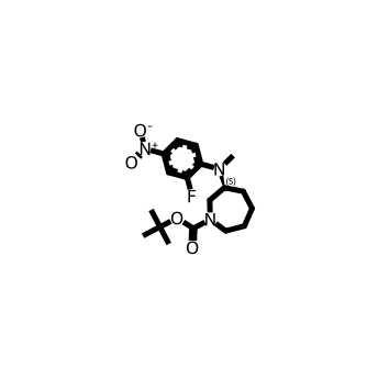 CN(c1ccc([N+](=O)[O-])cc1F)[C@H]1CCCCN(C(=O)OC(C)(C)C)C1